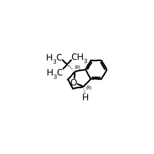 CC(C)(C)[C@@]12CC[C@@H](O1)c1ccccc12